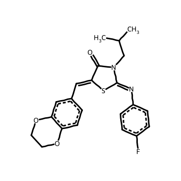 CC(C)CN1C(=O)/C(=C/c2ccc3c(c2)OCCO3)S/C1=N\c1ccc(F)cc1